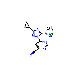 C[C@H](N)c1nc(C2CC2)nn1-c1cc(C#N)ncn1.Cl